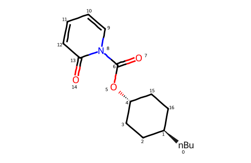 CCCC[C@H]1CC[C@H](OC(=O)n2ccccc2=O)CC1